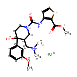 COC(=O)c1sccc1NC(=O)N1CCC(O)(c2cccc(OC)c2)C(CN(C)C)C1.Cl